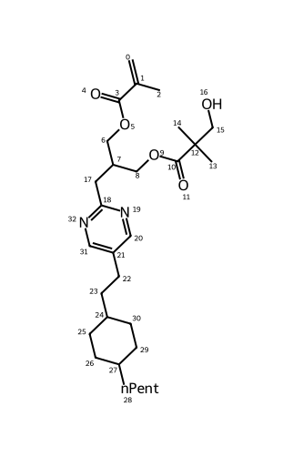 C=C(C)C(=O)OCC(COC(=O)C(C)(C)CO)Cc1ncc(CCC2CCC(CCCCC)CC2)cn1